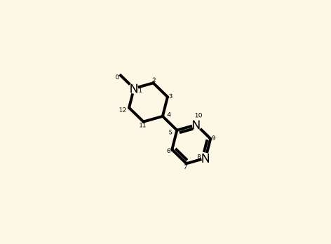 CN1CCC(c2ccncn2)CC1